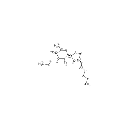 CCCCOC[C@@H]1C=C[C@H](N2CC(C)C(=O)C(CCCC)C2=O)O1